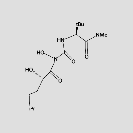 [CH2]C(C)CC[C@H](O)C(=O)N(O)C(=O)N[C@H](C(=O)NC)C(C)(C)C